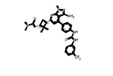 CN(C)C(=O)C[C@@H]1C[C@H](c2cc(-c3ccc(NC(=O)Nc4cccc(C(F)(F)F)c4)cc3)c3c(N)nn(C)c3n2)C1(C)C